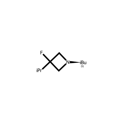 CC[C@H](C)N1CC(F)(C(C)C)C1